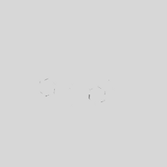 Cc1c(F)cccc1[O][Zr][O]c1cccc(F)c1C